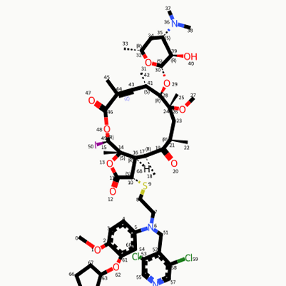 COc1ccc(N(CCS[C@@H]2C(=O)O[C@@]3(C)[C@H]2[C@@H](C)C(=O)[C@H](C)C[C@@](C)(OC)[C@H](O[C@@H]2O[C@H](C)C[C@H](N(C)C)[C@H]2O)[C@@H](C)/C=C(/C)C(=O)O[C@@H]3I)Cc2c(Cl)cncc2Cl)cc1OC1CCCC1